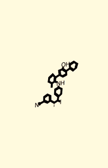 CC1CC=CC(c2ccc(-c3ccccc3)c(O)c2)=C1NC1=CC=C(C(I)[C@H](C)c2cccc(C#N)c2)CC1